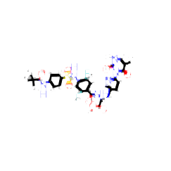 COC(=O)[C@H](Cc1ccc(-n2c(=O)c(C)cn(C)c2=O)nc1)NC(=O)c1cc(F)c(NS(=O)(=O)c2ccc(NC(=O)C(C)(C)C)cc2)cc1F